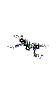 CC1(C)C(/C=C/C2=C(Cl)C(=C/C=C3/N(CCCCS(=O)(=O)O)c4ccc(S(=O)(=O)O)cc4C3(C)C)/CCC2)=[N+](CCCCS(=O)(=O)O)c2ccc(S(=O)(=O)O)cc21